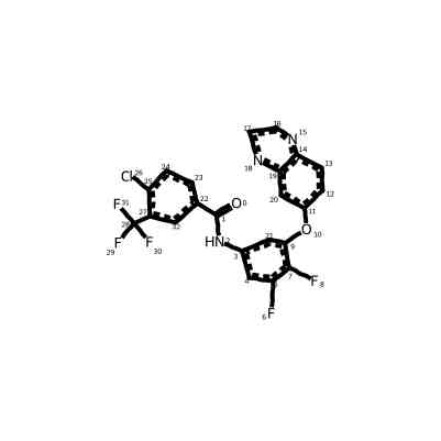 O=C(Nc1cc(F)c(F)c(Oc2ccc3nccnc3c2)c1)c1ccc(Cl)c(C(F)(F)F)c1